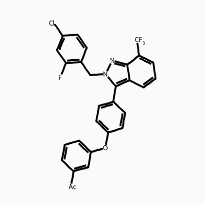 CC(=O)c1cccc(Oc2ccc(-c3c4cccc(C(F)(F)F)c4nn3Cc3ccc(Cl)cc3F)cc2)c1